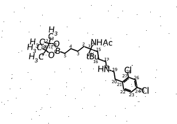 CC(=O)NC(CCCCB1OC(C)(C)C(C)(C)O1)(CCCNCCc1ccc(Cl)cc1Cl)C(C)(C)C